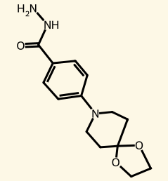 NNC(=O)c1ccc(N2CCC3(CC2)OCCO3)cc1